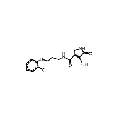 O=C1NCC(C(=O)NCCCOc2ccccc2Cl)=C1O